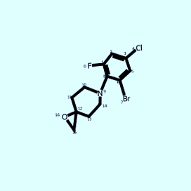 Fc1cc(Cl)cc(Br)c1N1CCC2(CC1)CO2